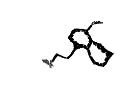 COc1ccc(CCC(=O)O)c2ccccc12